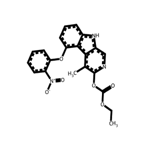 CCOC(=O)Oc1ncc2[nH]c3cccc(Oc4ccccc4[N+](=O)[O-])c3c2c1C